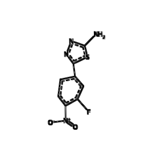 Nc1nnc(-c2ccc([N+](=O)[O-])c(F)c2)s1